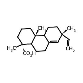 C=C[C@]1(C)C=C2CCC3[C@](C)(CCC[C@@]3(C)C(=O)O)C2CC1